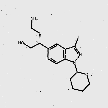 NCC[C@@H](CO)c1cc2c(I)nn(C3CCCCO3)c2cn1